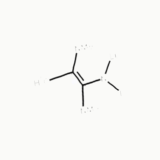 CCN(CC)/C(NC)=C(/C)NC